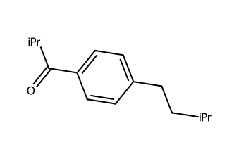 CC(C)CCc1ccc(C(=O)C(C)C)cc1